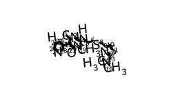 Cc1nc(NCCSCc2csc(CN(C)C)n2)n(C)c(=O)c1-c1cccnc1